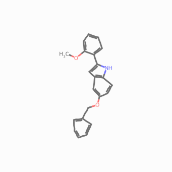 COc1ccccc1-c1cc2cc(OCc3ccccc3)ccc2[nH]1